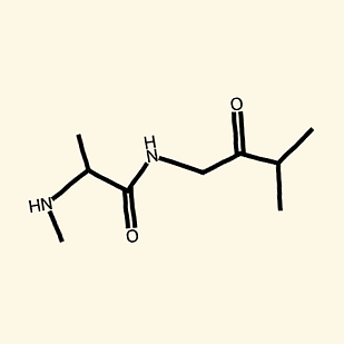 CNC(C)C(=O)NCC(=O)C(C)C